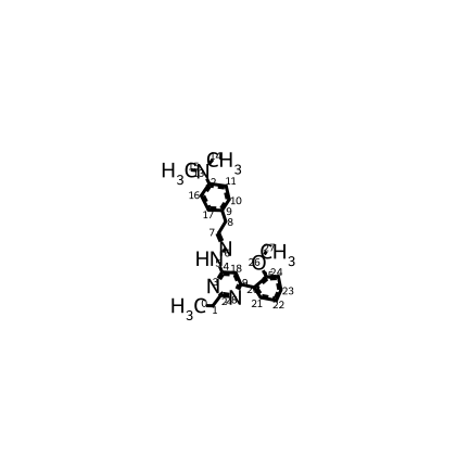 CCc1nc(NN=CCc2ccc(N(C)C)cc2)cc(-c2ccccc2OC)n1